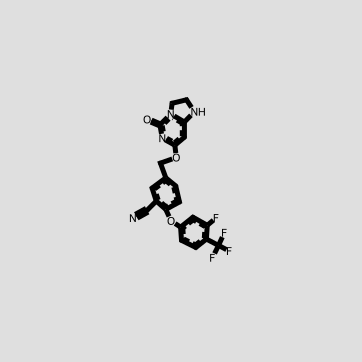 N#Cc1cc(COc2cc3n(c(=O)n2)CCN3)ccc1Oc1ccc(C(F)(F)F)c(F)c1